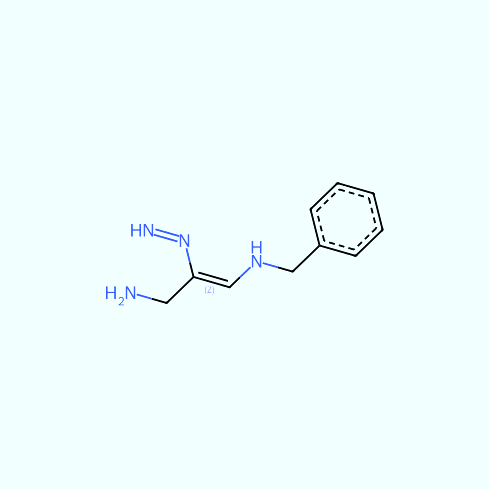 N=N/C(=C\NCc1ccccc1)CN